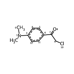 CN(C)c1ccc(C(=O)CCl)cc1